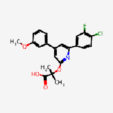 COc1cccc(-c2cc(OC(C)(C)C(=O)O)nc(-c3ccc(Cl)c(F)c3)c2)c1